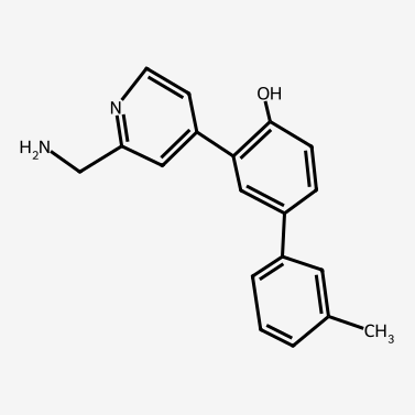 Cc1cccc(-c2ccc(O)c(-c3ccnc(CN)c3)c2)c1